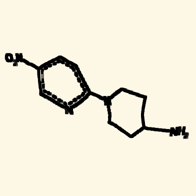 NC1CCN(c2ccc([N+](=O)[O-])cn2)CC1